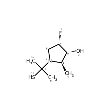 C[C@@H]1[C@@H](O)[C@@H](F)CN1C(C)(C)S